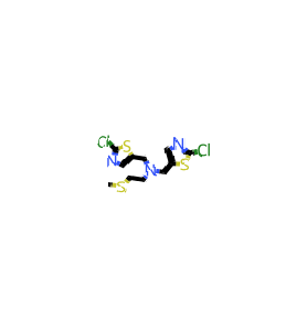 CSCCN(Cc1cnc(Cl)s1)Cc1cnc(Cl)s1